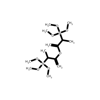 C=C(OC(=C)C(C)[Si](OC)(OC)OC)C(C)[Si](OC)(OC)OC